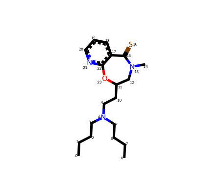 CCCCN(CCCC)CCC1CN(C)C(=S)c2cccnc2O1